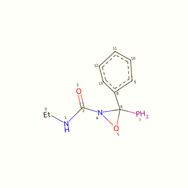 CCNC(=O)N1OC1(P)c1ccccc1